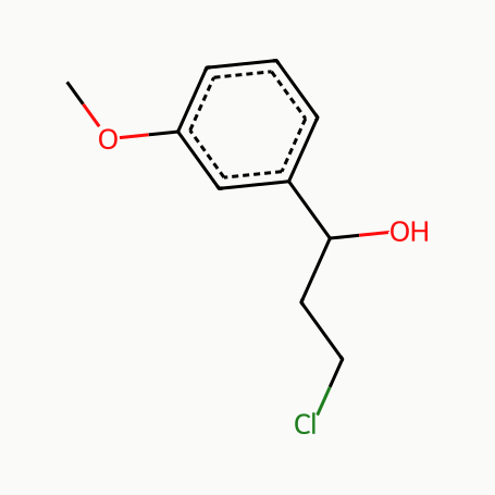 COc1cccc(C(O)CCCl)c1